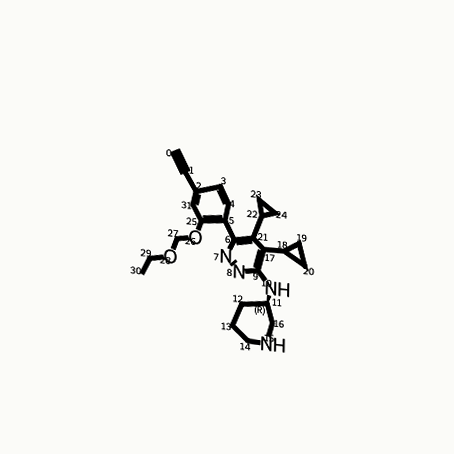 C#Cc1ccc(-c2nnc(N[C@@H]3CCCNC3)c(C3CC3)c2C2CC2)c(OCOCC)c1